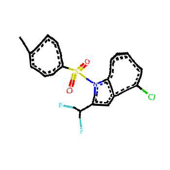 Cc1ccc(S(=O)(=O)n2c(C(F)F)cc3c(Cl)cccc32)cc1